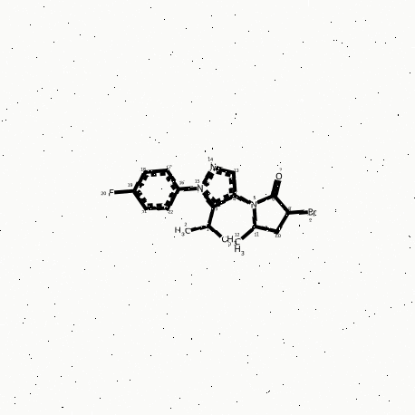 CC(C)c1c(N2C(=O)C(Br)CC2C)cnn1-c1ccc(F)cc1